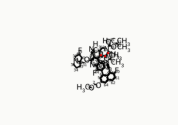 COCOc1cc(-c2ccc3c(N4CCN(C(=O)OC(C)(C)C)CC4C)c(C#N)c(OC[C@@]45CCCN4C[C@H](F)C5)nc3c2F)c2c(C#C[Si](C(C)C)(C(C)C)C(C)C)c(F)ccc2c1